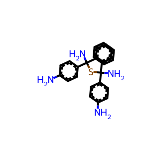 Nc1ccc(C(N)(SC(N)(c2ccccc2)c2ccc(N)cc2)c2ccccc2)cc1